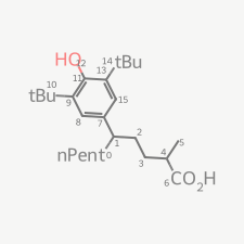 CCCCCC(CCC(C)C(=O)O)c1cc(C(C)(C)C)c(O)c(C(C)(C)C)c1